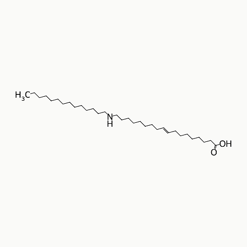 CCCCCCCCCCCCCCNCCCCCCCCC=CCCCCCCCC(=O)O